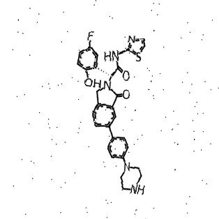 O=C(Nc1nccs1)[C@@H](c1cc(F)ccc1O)N1Cc2ccc(-c3ccc(N4CCNCC4)cc3)cc2C1=O